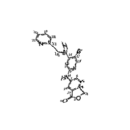 O=C1OCc2ccc(Nc3ncc(Br)c(NCc4ccccn4)n3)cc21